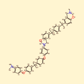 CN1COc2ccc(C(C)(C)c3ccc(C(C)(C)c4ccc5c(c4)CN(c4ccc(Oc6ccc(C(C)(C)c7ccc(Oc8ccc(N(C)C)cc8)cc7)cc6)cc4)CO5)cc3)cc2C1